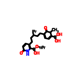 CCCOB(O)c1[nH]c(=O)ccc1CCC(CCC1=CC=C(B(O)O)C(C)C1=O)C(C)C